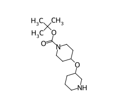 CC(C)(C)OC(=O)N1CCC(OC2CCCNC2)CC1